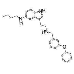 CCCCNc1ccc2[nH]cc(CCNCc3cccc(Oc4ccccc4)c3)c2c1